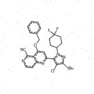 CC(C)(C)c1nn(C2CCC(F)(F)CC2)c(-c2cc(OCc3ccccc3)c3c(C#N)nccc3n2)c1Cl